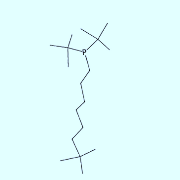 CC(C)(C)CCCCCCP(C(C)(C)C)C(C)(C)C